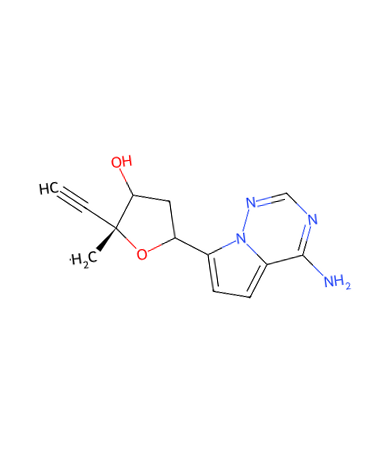 C#C[C@@]1([CH2])OC(c2ccc3c(N)ncnn23)CC1O